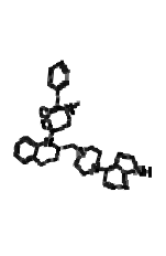 CN(CC(=O)N1c2ccccc2CCC1CN1CCN(c2cccc3[nH]ccc23)CC1)C(=O)c1ccccc1